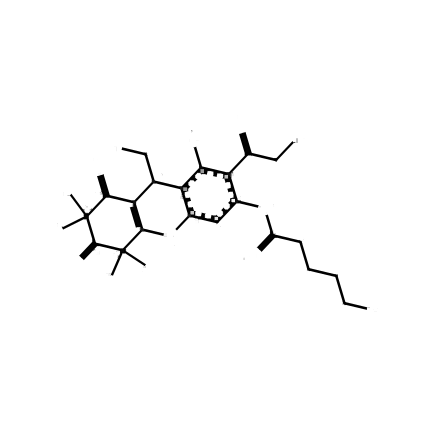 CC(C)CC(=O)c1c(OC(=O)CCCCBr)cc2c(c1O)C(CC(C)C)C1=C(O2)C(C)(C)C(=O)C(C)(C)C1=O